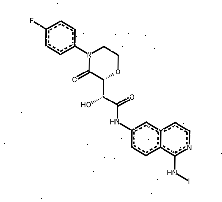 O=C(Nc1ccc2c(NI)nccc2c1)[C@H](O)[C@H]1OCCN(c2ccc(F)cc2)C1=O